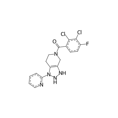 O=C(c1ccc(F)c(Cl)c1Cl)N1CCC2=C(C1)NNN2c1ccccn1